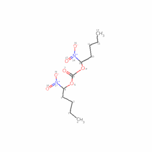 CCCCC(OC(=O)OC(CCCC)[N+](=O)[O-])[N+](=O)[O-]